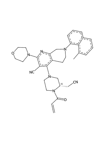 C=CC(=O)N1CCN(c2c(C#N)c(N3CCOCC3)nc3c2CCN(c2cccc4cccc(C)c24)C3)C[C@@H]1CC#N